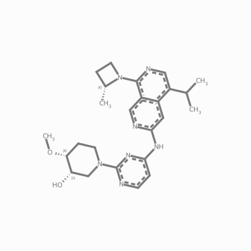 CO[C@@H]1CCN(c2nccc(Nc3cc4c(C(C)C)cnc(N5CC[C@H]5C)c4cn3)n2)C[C@@H]1O